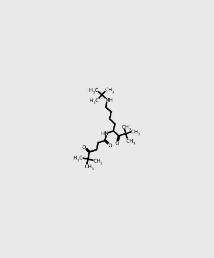 CC(C)(C)NCCCCC(NC(=O)CCC(=O)C(C)(C)C)C(=O)C(C)(C)C